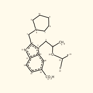 CC(Cn1c(CN2CCCCC2)nc2ccc(C(=O)O)cc21)OC(F)F